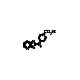 CCOC(=O)N1CCC(N(C)c2nc3cccnc3s2)CC1